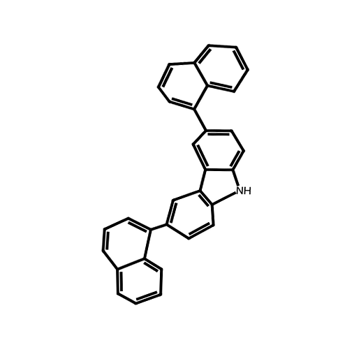 c1ccc2c(-c3ccc4[nH]c5ccc(-c6cccc7ccccc67)cc5c4c3)cccc2c1